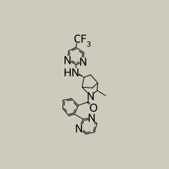 CC1C2CC([C@@H](Nc3ncc(C(F)(F)F)cn3)C2)N1C(=O)c1ccccc1-c1ncccn1